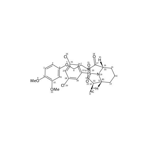 COc1ccc(OCCN2C[C@H](C(C)=O)[C@H]3CCC[C@@H](C2=O)N3S(=O)(=O)c2cc(Cl)cc(Cl)c2)cc1OC